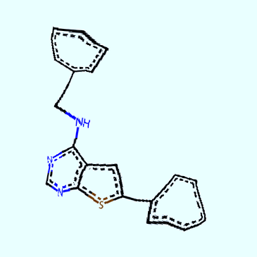 c1ccc(CNc2ncnc3sc(-c4ccccc4)cc23)cc1